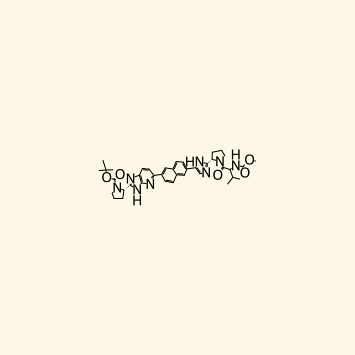 COC(=O)N[C@H](C(=O)N1CCC[C@H]1c1ncc(-c2ccc3cc(-c4ccc5nc([C@@H]6CCCN6C(=O)OC(C)(C)C)[nH]c5n4)ccc3c2)[nH]1)C(C)C